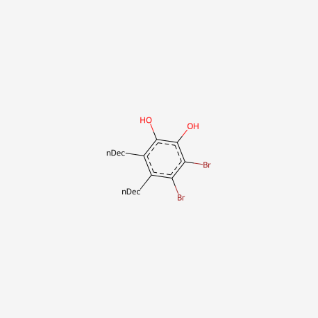 CCCCCCCCCCc1c(O)c(O)c(Br)c(Br)c1CCCCCCCCCC